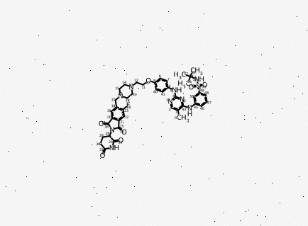 Cc1cnc(Nc2ccc(OCCN3CCN(Cc4cc5c(cc4F)C(=O)N(C4CCC(=O)NC4=O)C5=O)CC3)cc2)nc1Nc1cccc(S(=O)(=O)NC(C)(C)C)c1